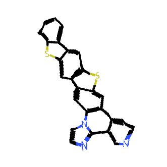 c1ccc2c(c1)sc1cc3c(cc12)sc1cc2c4ccncc4c4nccn4c2cc13